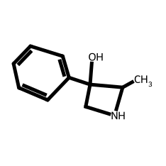 CC1NCC1(O)c1ccccc1